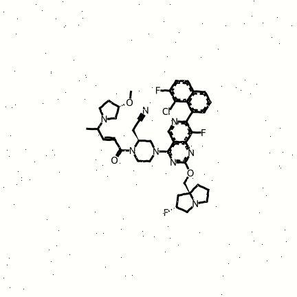 CO[C@H]1CCN(C(C)/C=C/C(=O)N2CCN(c3nc(OC[C@@]45CCCN4C[C@H](F)C5)nc4c(F)c(-c5cccc6ccc(F)c(Cl)c56)ncc34)C[C@@H]2CC#N)C1